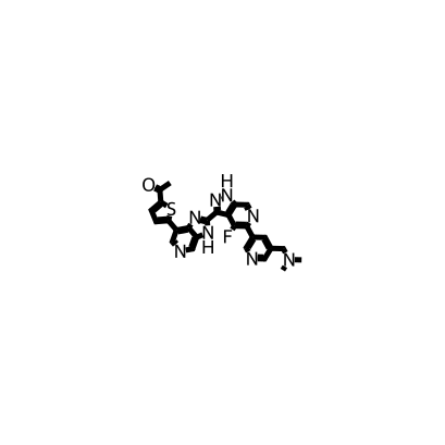 CC(=O)c1ccc(-c2cncc3[nH]c(-c4n[nH]c5cnc(-c6cncc(CN(C)C)c6)c(F)c45)nc23)s1